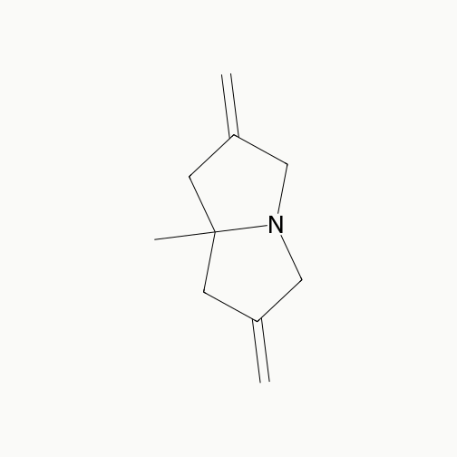 C=C1CN2CC(=C)CC2(C)C1